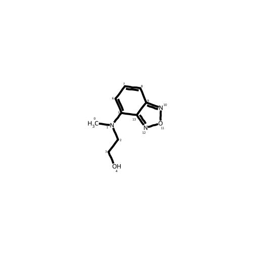 CN(CCO)c1cccc2nonc12